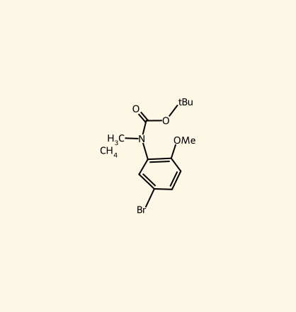 C.COc1ccc(Br)cc1N(C)C(=O)OC(C)(C)C